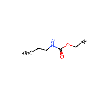 CC(C)COC(=O)NCC[C]=O